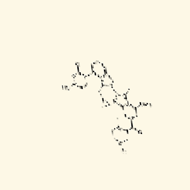 CC[C@@H]1CC[C@H](C)N(C(=O)c2cc(OC)c3c(c2)nc(-c2cc4cccc(-c5ccc(O)cc5Cl)c4n2CC2CC2)n3C)C1